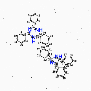 C1=CCCC(C2N=C(c3ccccc3)NC(C3C=C(c4cccc(C5N=C6c7ccccc7-c7ccccc7C6N5)c4)C=CC3)N2)=C1